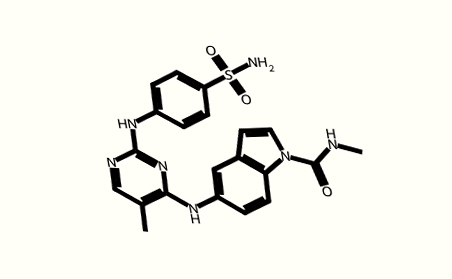 CNC(=O)n1ccc2cc(Nc3nc(Nc4ccc(S(N)(=O)=O)cc4)ncc3C)ccc21